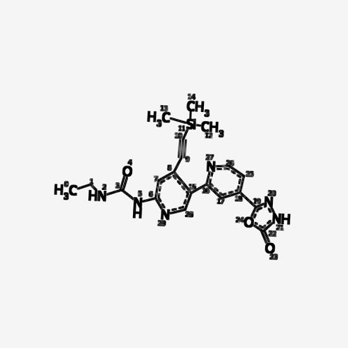 CCNC(=O)Nc1cc(C#C[Si](C)(C)C)c(-c2cc(-c3n[nH]c(=O)o3)ccn2)cn1